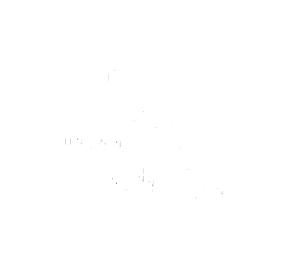 NC(=S)NN=C(c1ccc(Br)cc1)c1cccc(C(=NNC(N)=S)c2ccc(Br)cc2)c1